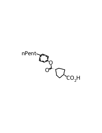 CCCCCc1ccc(OC(=O)[C@H]2CC[C@H](C(=O)O)CC2)cc1